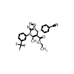 CCOC(=O)C1=C(C)N(c2cccc(C(F)(F)F)c2)c2nnnn2[C@@H]1c1ccc(C#N)cc1